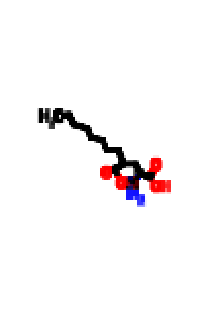 CCCCCCCCC(C[C@H](N)C(=O)O)C(=O)O